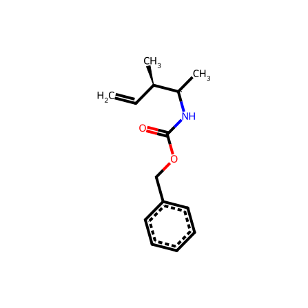 C=C[C@@H](C)[C](C)NC(=O)OCc1ccccc1